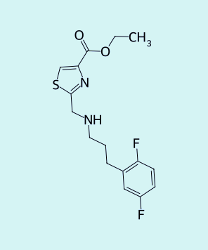 CCOC(=O)c1csc(CNCCCc2cc(F)ccc2F)n1